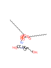 C=C1CC[C@H](O)C/C1=C/C=C1\CCC[C@]2(C)[C@@H]([C@H](C)CCCC(C)(C)O)CC[C@@H]12.CCCCCCCCCCCCCCCC(=O)OC[C@H](COP(=O)([O-])OCC[N+](C)(C)C)OC(=O)CCCCCCCCCCCCCCC